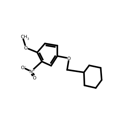 COc1ccc(OCC2CCCCC2)cc1[N+](=O)[O-]